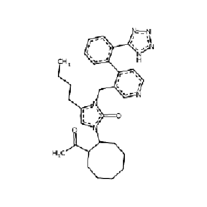 CCCCc1cn(C2CCCCCCC2C(C)=O)c(=O)n1Cc1cnccc1-c1ccccc1-c1nnn[nH]1